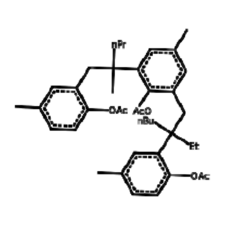 CCCCC(CC)(Cc1cc(C)cc(C(C)(CCC)Cc2cc(C)ccc2OC(C)=O)c1OC(C)=O)c1cc(C)ccc1OC(C)=O